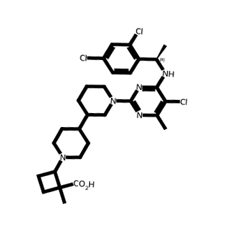 Cc1nc(N2CCCC(C3CCN(C4CCC4(C)C(=O)O)CC3)C2)nc(N[C@H](C)c2ccc(Cl)cc2Cl)c1Cl